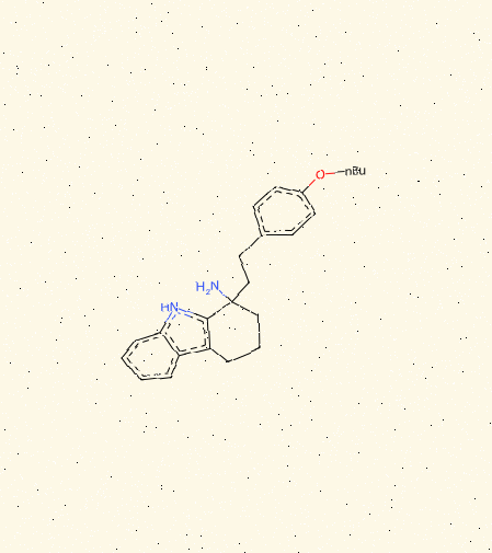 CCCCOc1ccc(CCC2(N)CCCc3c2[nH]c2ccccc32)cc1